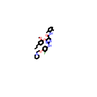 CCCc1ccc(Oc2nc(Nc3ccc(OCCN4CCCCC4)c(F)c3)ncc2C(=O)Nc2c(C)cccc2C)c(OC)c1